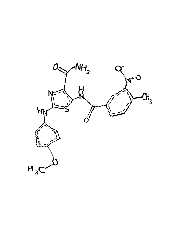 COc1ccc(Nc2nc(C(N)=O)c(NC(=O)c3ccc(C)c([N+](=O)[O-])c3)s2)cc1